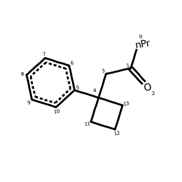 CCCC(=O)CC1(c2ccccc2)CCC1